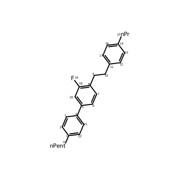 CCCCCc1ccc(-c2ccc(CCc3ccc(CCC)cc3)c(F)c2)cc1